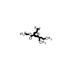 CCCC(CC)c1cc(C(=O)OCC)cc(C(F)F)n1